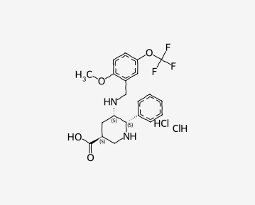 COc1ccc(OC(F)(F)F)cc1CN[C@H]1C[C@H](C(=O)O)CN[C@H]1c1ccccc1.Cl.Cl